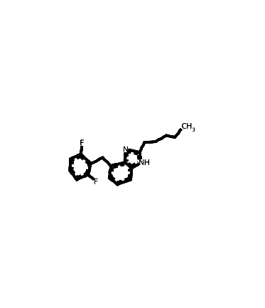 CCCCCc1nc2c(Cc3c(F)cccc3F)cccc2[nH]1